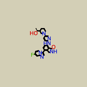 C[C@H](O)C1CCCN(c2ccc(Nc3ccc(-c4cnc5cc(F)ccn45)c4c3C(=O)NC4)nc2)C1